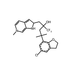 CN1C=CC2=CC(CC(O)(CC(C)(C)c3cc(Cl)cc4c3OCC4)C(F)(F)F)NC2=C1